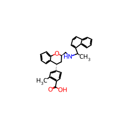 Cc1cc([C@H]2C[C@H](CN[C@H](C)c3cccc4ccccc34)Oc3ccccc32)ccc1C(=O)O